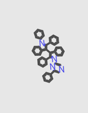 c1ccc(-c2cncc(-n3c(-c4ccccc4)c(-c4c(-c5ccccc5)n(-c5ccccc5)c5ccccc45)c4ccccc43)n2)cc1